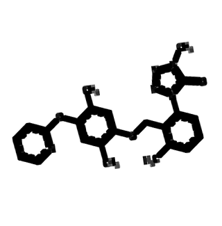 Cc1cc(Oc2ccccn2)c(C)cc1OCc1c(C)cccc1-n1nnn(C)c1=O